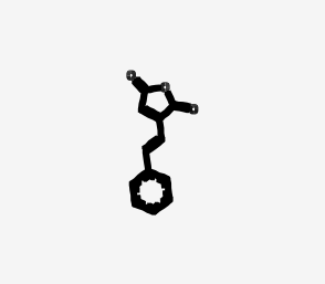 O=C1C=C(C=Cc2ccccc2)C(=O)O1